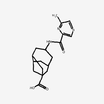 Cc1cncc(C(=O)NC2CC3CC4CC(C(=O)O)(C3)CC4C2)n1